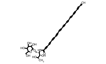 C#CC#CC#CC#CC#CC#CC#CC#CC#CC#CC#CC(=O)N[C@@H](COC1OC(CO)C(O)C(O)C1O)[C@H](O)[C@@H](C)O